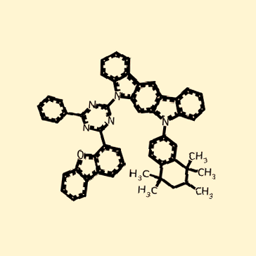 CC1CC(C)(C)c2ccc(-n3c4ccccc4c4cc5c6ccccc6n(-c6nc(-c7ccccc7)nc(-c7cccc8c7oc7ccccc78)n6)c5cc43)cc2C1(C)C